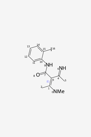 CN/C(C)=C(\C(C)=N)C(=O)Nc1ccccc1I